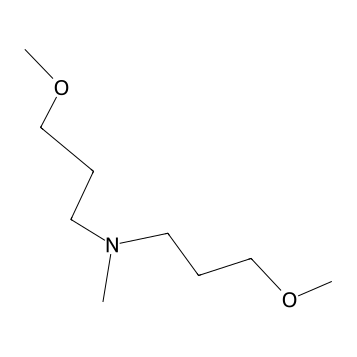 COCCCN(C)CCCOC